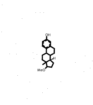 COC1CC[C@H]2C3CCc4cc(O)ccc4C3CCC12C